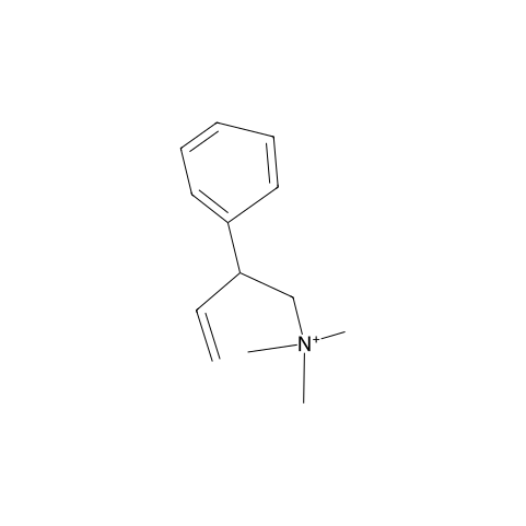 C=CC(C[N+](C)(C)C)c1ccccc1